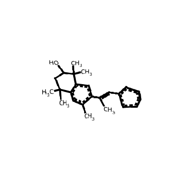 C/C(=C\c1ccccc1)c1cc2c(cc1C)C(C)(C)CC(O)C2(C)C